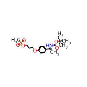 C[C@@H](NC(=O)OC(C)(C)C)c1ccc(OCCCOS(C)(=O)=O)cc1